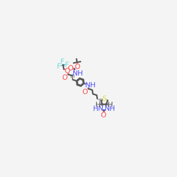 CC(C)(C)OC(=O)N[C@@H](Cc1ccc(NC(=O)CCCC[C@@H]2SC[C@@H]3NC(=O)N[C@@H]32)cc1)C(=O)OCC(F)(F)F